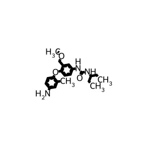 CCC(CC)NC(=O)Nc1ccc(Oc2ccc(N)cc2C)c(COC)c1